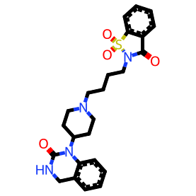 O=C1NCc2ccccc2N1C1CCN(CCCCN2C(=O)c3ccccc3S2(=O)=O)CC1